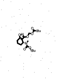 CN(C(=O)OC(C)(C)C)[C@@H]1CCCc2onc(OCOC(=O)C(C)(C)C)c21